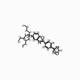 CCC[CH2][Sn]([CH2]CCC)([CH2]CCC)[c]1ccc2oc(-c3ccc(-c4ncon4)cc3)nc2c1